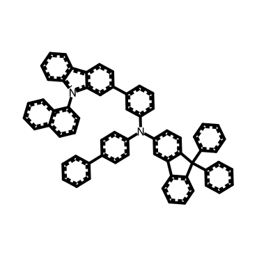 c1ccc(-c2ccc(N(c3cccc(-c4ccc5c6ccccc6n(-c6cccc7ccccc67)c5c4)c3)c3ccc4c(c3)-c3ccccc3C4(c3ccccc3)c3ccccc3)cc2)cc1